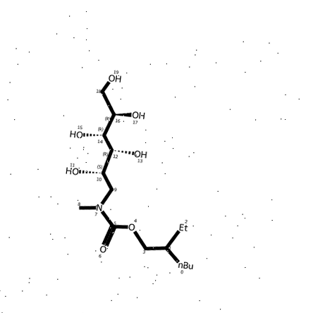 CCCCC(CC)COC(=O)N(C)C[C@H](O)[C@@H](O)[C@H](O)[C@H](O)CO